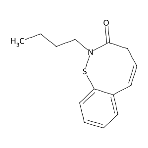 CCCCN1Sc2ccccc2C=CCC1=O